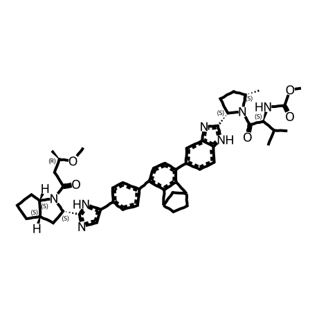 COC(=O)N[C@H](C(=O)N1[C@@H](C)CC[C@H]1c1nc2cc(-c3ccc(-c4ccc(-c5cnc([C@@H]6C[C@@H]7CCC[C@@H]7N6C(=O)C[C@@H](C)OC)[nH]5)cc4)c4c3C3CCC4C3)ccc2[nH]1)C(C)C